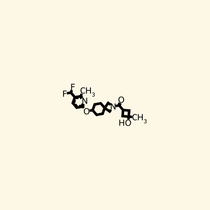 Cc1nc(OC2CCC3(CC2)CN(C(=O)C2CC(C)(O)C2)C3)ccc1C(F)F